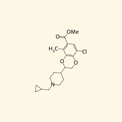 COC(=O)c1cc(Cl)c2c(c1C)OC(C1CCN(CC3CC3)CC1)CO2